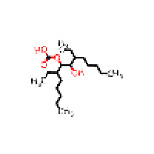 CCCCCC(CC)C(O)C(OC(=O)O)C(CC)CCCCC